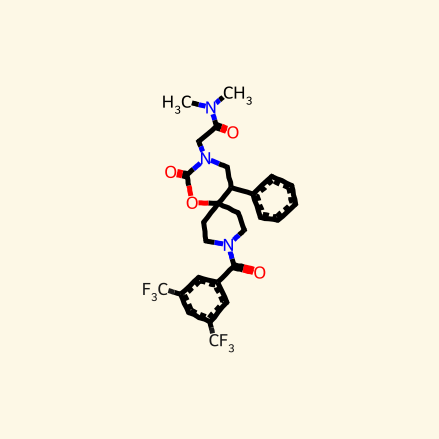 CN(C)C(=O)CN1CC(c2ccccc2)C2(CCN(C(=O)c3cc(C(F)(F)F)cc(C(F)(F)F)c3)CC2)OC1=O